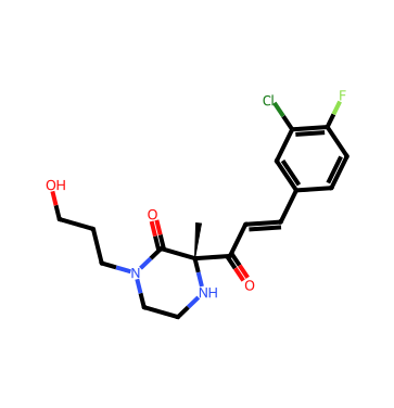 C[C@@]1(C(=O)C=Cc2ccc(F)c(Cl)c2)NCCN(CCCO)C1=O